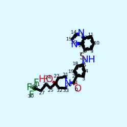 O=C(c1ccc(NSc2cccc3nccnc23)cc1)N1CCC(O)(CCCC(F)(F)F)CC1